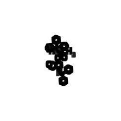 C[C@H](NC(c1ccccc1)(c1ccccc1)c1ccccc1)C(=O)Oc1ccc(N=C(c2ccccc2)c2ccccc2)c2c1COCC2